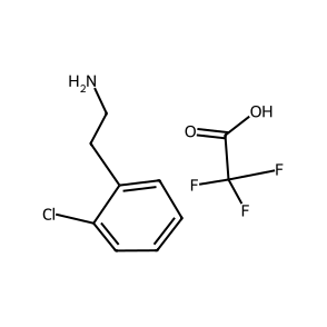 NCCc1ccccc1Cl.O=C(O)C(F)(F)F